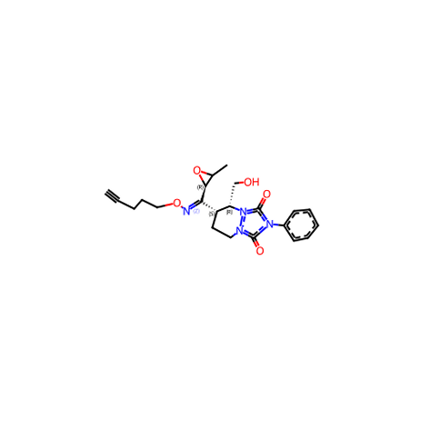 C#CCCCO/N=C(\[C@H]1OC1C)[C@H]1CCn2c(=O)n(-c3ccccc3)c(=O)n2[C@H]1CO